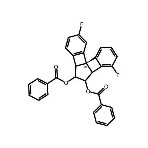 O=C(OC1C(OC(=O)c2ccccc2)C2c3c(F)cccc3[C@@]23c2cc(F)ccc2C13)c1ccccc1